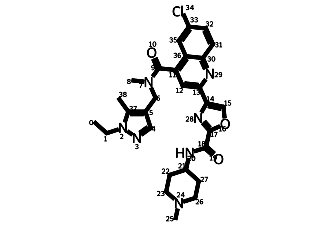 CCn1ncc(CN(C)C(=O)c2cc(-c3coc(C(=O)NC4CCN(C)CC4)n3)nc3ccc(Cl)cc23)c1C